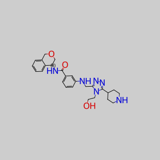 O=C(N[C@H]1COCc2ccccc21)c1cccc(NCc2nnc(C3CCNCC3)n2CCO)c1